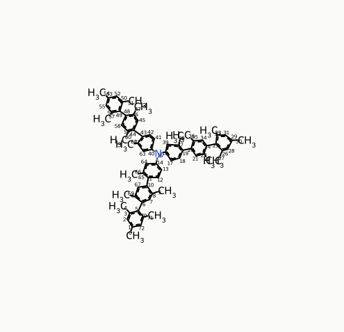 Cc1cc(C)c(-c2cc(C)c(-c3ccc(N(c4ccc(-c5cc(C)c(-c6c(C)cc(C)cc6C)cc5C)c(C)c4)c4ccc(-c5cc(C)c(-c6c(C)cc(C)cc6C)cc5C)c(C)c4)cc3C)cc2C)c(C)c1